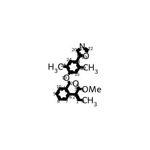 CC=C(C(=O)OC)c1ccccc1COc1cc(C)c(-c2cnco2)cc1C